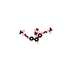 C=C(C)C(=O)OCCCOc1ccc(-c2cc(SC)cc(-c3ccc(OCCCOC(=O)C(=C)C)cc3)c2OC(=O)C2(C)COC(C)(C)OC2)cc1